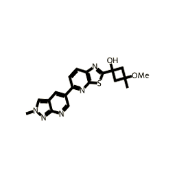 COC1(C)CC(O)(c2nc3ccc(-c4cnc5nn(C)cc5c4)nc3s2)C1